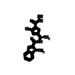 C[C@H](NC(=O)c1cc2ccccc2n1C)c1cc(Cl)c(C(=O)NO)s1